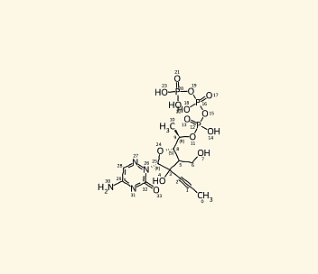 CC#CC1(O)C(CO)[C@@H]([C@@H](C)OP(=O)(O)OP(=O)(O)OP(=O)(O)O)O[C@H]1n1ncc(N)nc1=O